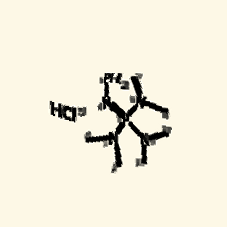 CN(C)P(=NP)(N(C)C)N(C)C.Cl